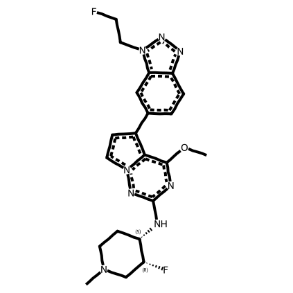 COc1nc(N[C@H]2CCN(C)C[C@H]2F)nn2ccc(-c3ccc4nnn(CCF)c4c3)c12